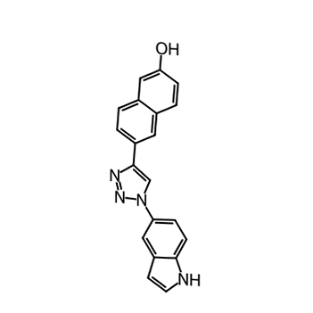 Oc1ccc2cc(-c3cn(-c4ccc5[nH]ccc5c4)nn3)ccc2c1